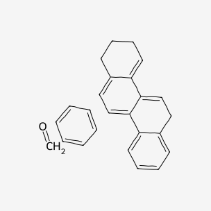 C1=c2c(ccc3c2=CCc2ccccc2-3)CCC1.C=O.c1ccccc1